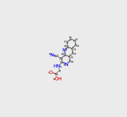 N#Cc1c(NCC(=O)O)ncc2cc3ccccc3nc12